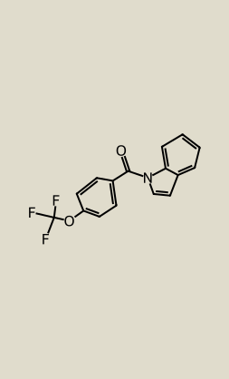 O=C(c1ccc(OC(F)(F)F)cc1)n1ccc2ccccc21